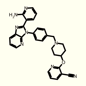 N#Cc1cccnc1OC1CCN(Cc2ccc(-n3c(-c4cccnc4N)nc4cccnc43)cc2)CC1